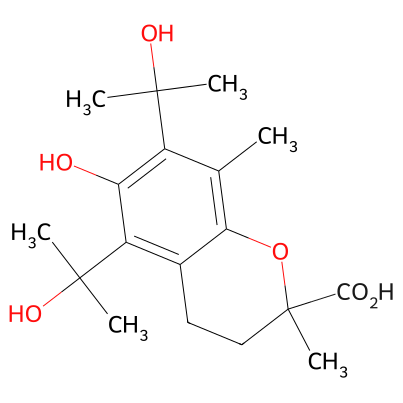 Cc1c2c(c(C(C)(C)O)c(O)c1C(C)(C)O)CCC(C)(C(=O)O)O2